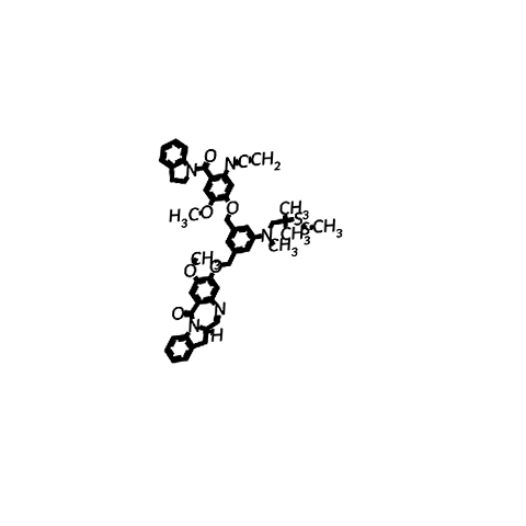 C=C=Nc1cc(OCc2cc(COc3cc4c(cc3OC)C(=O)N3c5ccccc5C[C@H]3C=N4)cc(N(C)CC(C)(C)SSC)c2)c(OC)cc1C(=O)N1CCc2ccccc21